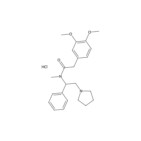 COc1ccc(CC(=O)N(C)C(CN2CCCC2)c2ccccc2)cc1OC.Cl